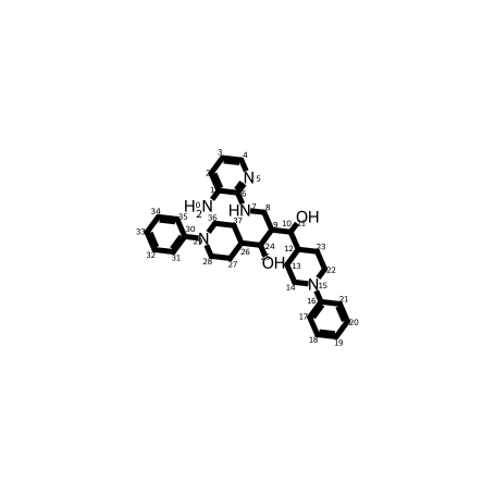 Nc1cccnc1NCC(C(O)C1CCN(c2ccccc2)CC1)C(O)C1CCN(c2ccccc2)CC1